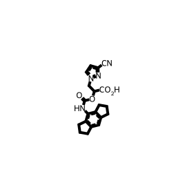 N#Cc1ccn(CC(OC(=O)Nc2c3c(cc4c2CCC4)CCC3)C(=O)O)n1